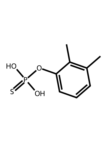 Cc1cccc(OP(O)(O)=S)c1C